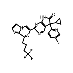 O=C1Nc2nc(-c3cn4ccnc4c(CCCC(F)(F)F)n3)ncc2C1(c1ccc(F)cn1)C1CC1